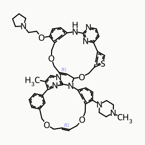 Cc1cnc2nc1-c1cccc(c1)COC/C=C/COCc1cc(ccc1N1CCN(C)CC1)N2C1/C=C/COCc2cc(ccc2OCCN2CCCC2)Nc2nccc(n2)-c2csc(c2)CO1